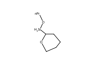 CCCO[SiH2]C1CCCCO1